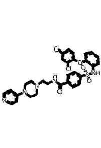 O=C(NCCN1CCN(c2ccncc2)CC1)c1ccc(S(=O)(=O)Nc2ccccc2Oc2ccc(Cl)cc2Cl)cc1